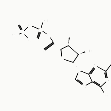 Cc1nc(N)c2ncn([C@@H]3O[C@H](C(=S)OP(=O)(O)OP(=O)(O)O)[C@@H](O)[C@H]3O)c2n1